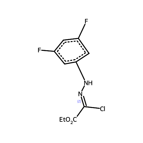 CCOC(=O)/C(Cl)=N/Nc1cc(F)cc(F)c1